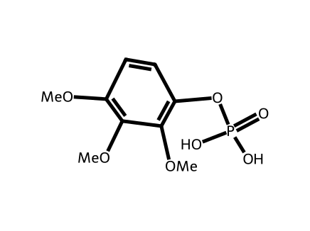 COc1ccc(OP(=O)(O)O)c(OC)c1OC